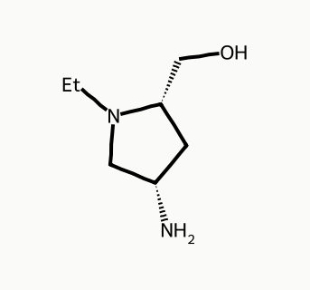 CCN1C[C@@H](N)C[C@H]1CO